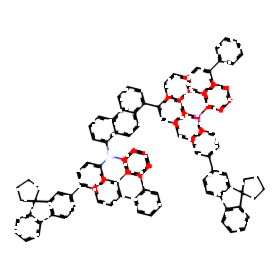 c1ccc(-c2ccc(-c3cc(-c4cccc5c4ccc4c(N(c6ccc(-c7ccc8c(c7)C7(CCCC7)c7ccccc7-8)cc6)c6ccccc6-c6ccccc6-c6ccccc6-c6ccccc6)cccc45)ccc3N(c3ccc(-c4ccc5c(c4)C4(CCCC4)c4ccccc4-5)cc3)c3ccccc3-c3ccccc3-c3ccccc3-c3ccccc3)cc2)cc1